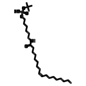 CCCCCCCC/C=C\CCCCCCCC(=O)NCCCCCCOP(=O)(O)OC(C)(C)C